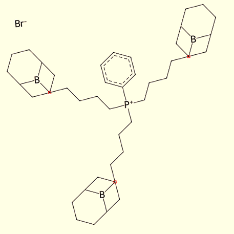 [Br-].c1ccc([P+](CCCCCB2C3CCCC2CCC3)(CCCCCB2C3CCCC2CCC3)CCCCCB2C3CCCC2CCC3)cc1